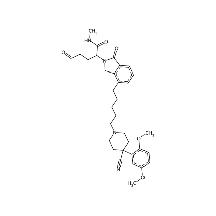 CNC(=O)C(CCC=O)N1Cc2c(CCCCCN3CCC(C#N)(c4cc(OC)ccc4OC)CC3)cccc2C1=O